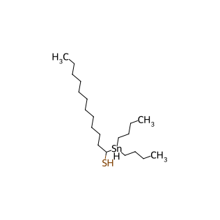 CCCCCCCCCCC[CH](S)[SnH]([CH2]CCC)[CH2]CCC